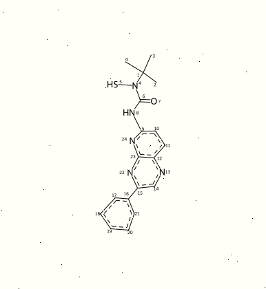 CC(C)(C)N(S)C(=O)Nc1ccc2ncc(-c3ccccc3)nc2n1